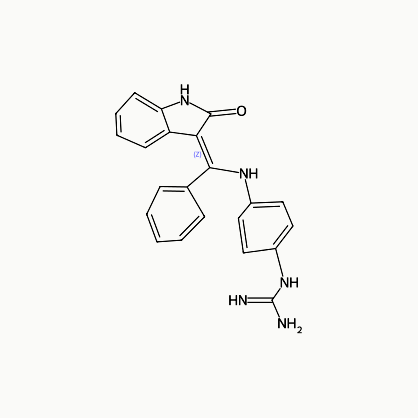 N=C(N)Nc1ccc(N/C(=C2\C(=O)Nc3ccccc32)c2ccccc2)cc1